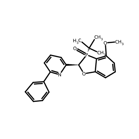 COc1cccc2c1[P@@](=O)(C(C)(C)C)[C@H](c1cccc(-c3ccccc3)n1)O2